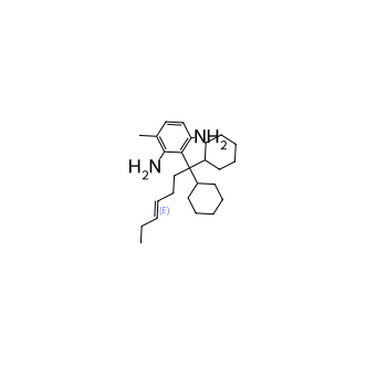 CC/C=C/CCC(c1c(N)ccc(C)c1N)(C1CCCCC1)C1CCCCC1